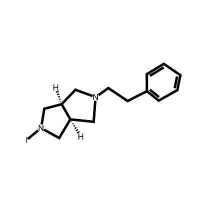 IN1C[C@@H]2CN(CCc3ccccc3)C[C@@H]2C1